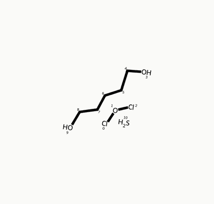 ClOCl.OCCCCCO.S